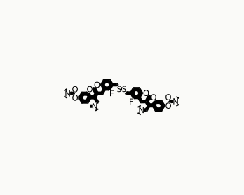 CN(C)Cc1c(Cc2cccc(CSSCc3cccc(Cc4c(CN(C)C)c5ccc(OC(=O)N(C)C)cc5oc4=O)c3F)c2F)c(=O)oc2cc(OC(=O)N(C)C)ccc12